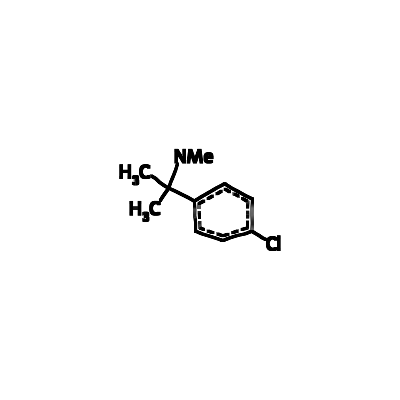 CNC(C)(C)c1ccc(Cl)cc1